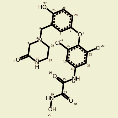 O=C1CN(Cc2cc(Oc3c(Cl)cc(NC(=O)C(=O)NO)cc3Cl)ccc2O)CCN1